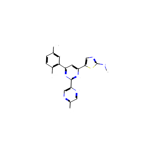 CCCNc1ncc(-c2cc(-c3cc(OC)ccc3OC)nc(-c3cnc(C)cn3)n2)s1